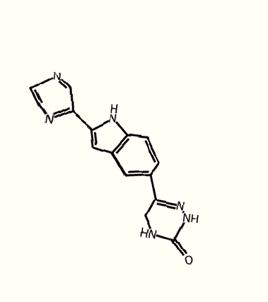 O=C1NCC(c2ccc3[nH]c(-c4cnccn4)cc3c2)=NN1